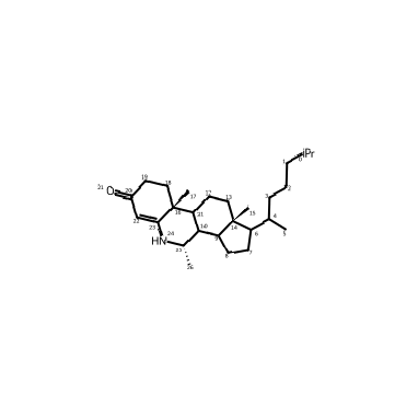 CC(C)CCCC(C)C1CCC2C3C(CC[C@]12C)[C@@]1(C)CCC(=O)C=C1N[C@H]3C